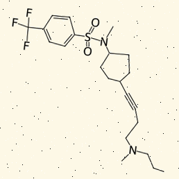 CCCN(C)CCC#CC1CCC(N(C)S(=O)(=O)c2ccc(C(F)(F)F)cc2)CC1